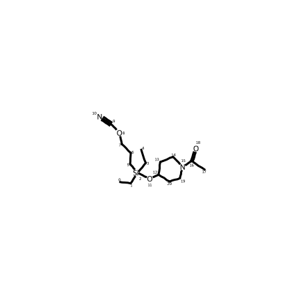 CC[Si](CC)(CCCOC#N)OC1CCN(C(C)=O)CC1